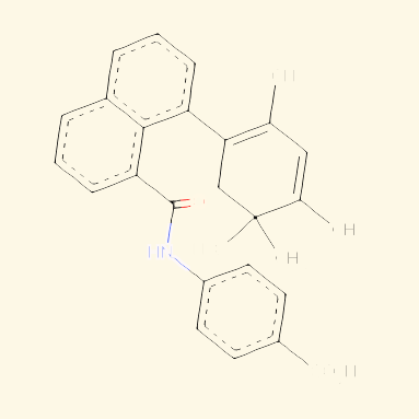 CC1=CC(C)=C(c2cccc3cccc(C(=O)Nc4ccc(C(=O)O)cc4)c23)CC1(C)C